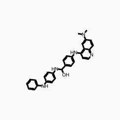 CN(C)c1ccc2nccc(Nc3ccc(C(O)Nc4ccc(Nc5ccccc5)cc4)cc3)c2c1